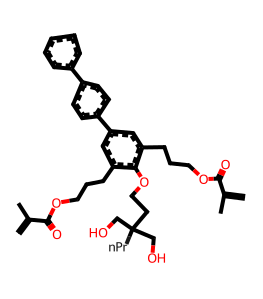 C=C(C)C(=O)OCCCc1cc(-c2ccc(-c3ccccc3)cc2)cc(CCCOC(=O)C(=C)C)c1OCCC(CO)(CO)CCC